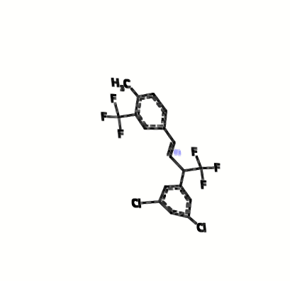 Cc1ccc(/C=C/C(c2cc(Cl)cc(Cl)c2)C(F)(F)F)cc1C(F)(F)F